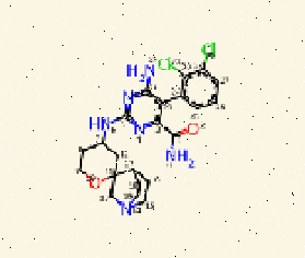 NC(=O)c1nc(NC2CCOC3(C2)CN2CCC3CC2)nc(N)c1-c1cccc(Cl)c1Cl